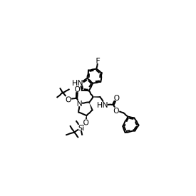 CC(C)(C)OC(=O)N1C[C@H](O[Si](C)(C)C(C)(C)C)C[C@@H]1[C@H](CNC(=O)OCc1ccccc1)c1c[nH]c2cc(F)ccc12